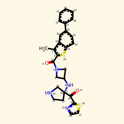 Cc1c(C(=O)N2CC(N[C@@]3(C(=O)c4nccs4)CCNC3)C2)sc2ccc(-c3ccccc3)cc12